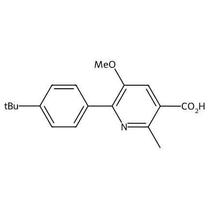 COc1cc(C(=O)O)c(C)nc1-c1ccc(C(C)(C)C)cc1